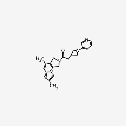 Cc1cn2c3c(c(C)cc2n1)CN(C(=O)CC1CN(c2cccnc2)C1)C3